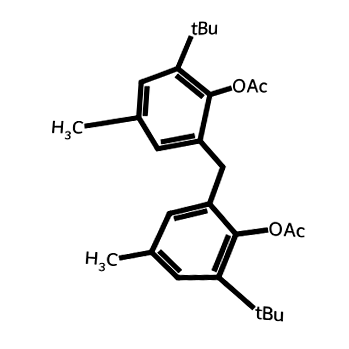 CC(=O)Oc1c(Cc2cc(C)cc(C(C)(C)C)c2OC(C)=O)cc(C)cc1C(C)(C)C